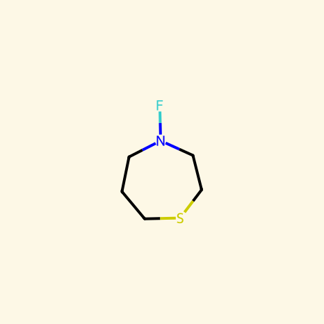 FN1CCCSCC1